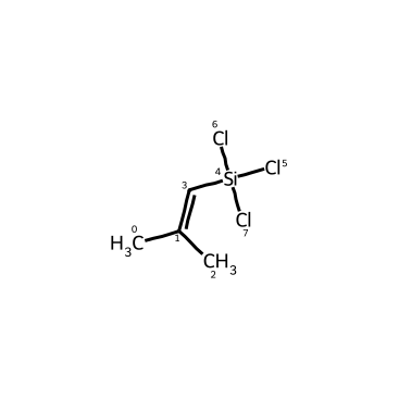 CC(C)=C[Si](Cl)(Cl)Cl